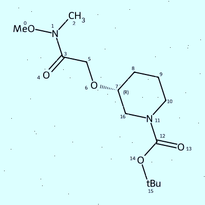 CON(C)C(=O)CO[C@@H]1CCCN(C(=O)OC(C)(C)C)C1